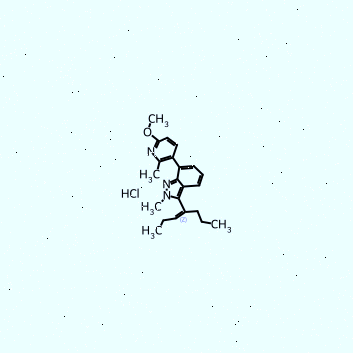 CC/C=C(/CCC)c1c2cccc(-c3ccc(OC)nc3C)c2nn1C.Cl